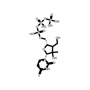 CC1(O)C(CO)[C@@H](COP(=O)(O)OP(=O)(O)OP(=O)(O)O)O[C@H]1n1ccc(=S)[nH]c1=O